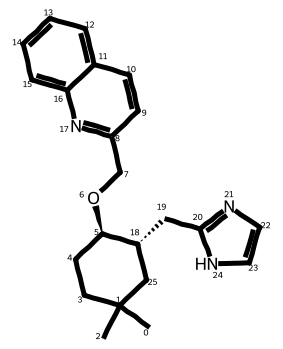 CC1(C)CC[C@@H](OCc2ccc3ccccc3n2)[C@H](Cc2ncc[nH]2)C1